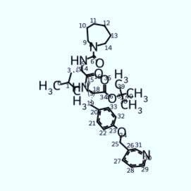 CC(C)C[C@H](NC(=O)N1CCCCCC1)C(=O)N[C@@H](Cc1ccc(OCc2cccnc2)cc1)C(=O)OC(C)(C)C